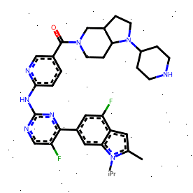 Cc1cc2c(F)cc(-c3nc(Nc4ccc(C(=O)N5CCC6C(CCN6C6CCNCC6)C5)cn4)ncc3F)cc2n1C(C)C